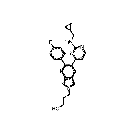 OCCCn1cc2cc(-c3ccnc(NCC4CC4)n3)c(-c3ccc(F)cc3)nc2n1